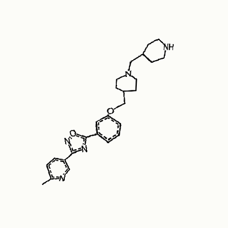 Cc1ccc(-c2noc(-c3cccc(OCC4CCN(CC5CCNCC5)CC4)c3)n2)cn1